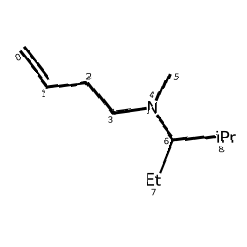 C=CCCN(C)C(CC)C(C)C